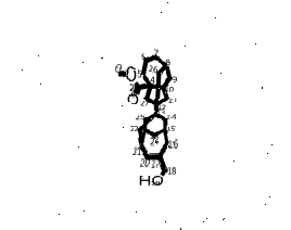 COC(=O)C12CCCC3CC1CC(C14CC5CC(CO)CC(C1)C(C5)C4)(C3)C2